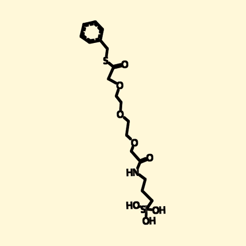 O=C(COCCOCCOCC(=O)SCc1ccccc1)NCCC[Si](O)(O)O